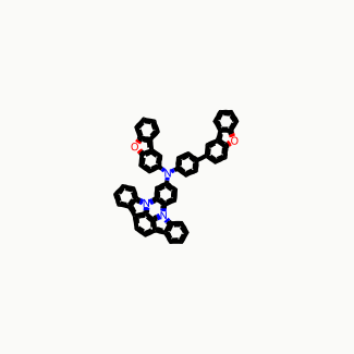 c1ccc2c(c1)oc1ccc(-c3ccc(N(c4ccc5oc6ccccc6c5c4)c4ccc5c(c4)n4c6ccccc6c6ccc7c8ccccc8n5c7c64)cc3)cc12